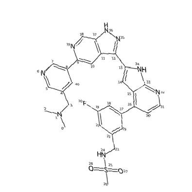 CN(C)Cc1cncc(-c2cc3c(-c4cc5c(-c6cc(F)cc(CNS(C)(=O)=O)c6)ccnc5[nH]4)n[nH]c3cn2)c1